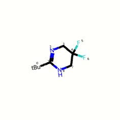 CC(C)(C)C1=NCC(F)(F)CN1